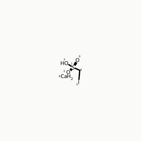 O=S(=O)(O)CI.[CaH2]